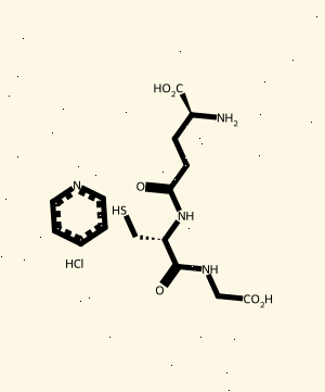 Cl.N[C@@H](CCC(=O)N[C@@H](CS)C(=O)NCC(=O)O)C(=O)O.c1ccncc1